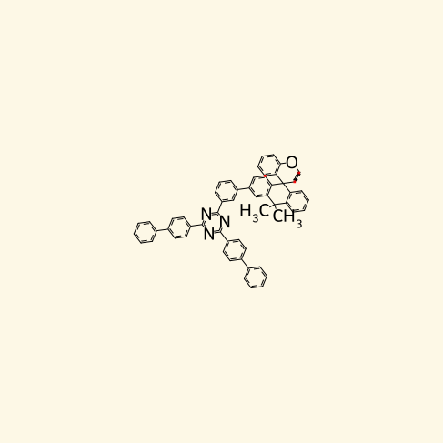 CC1(C)c2ccccc2C2(c3ccccc3Oc3ccccc32)c2ccc(-c3cccc(-c4nc(-c5ccc(-c6ccccc6)cc5)nc(-c5ccc(-c6ccccc6)cc5)n4)c3)cc21